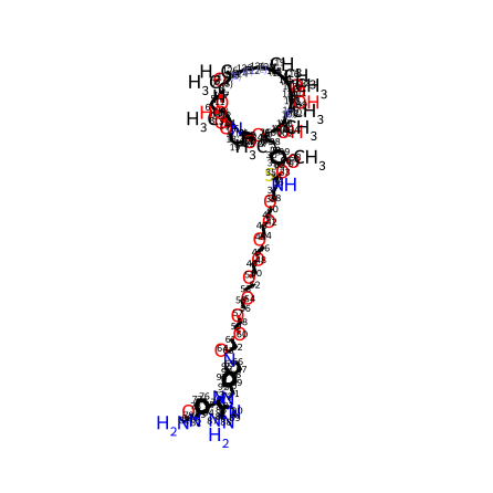 CO[C@H]1C[C@@H]2CC[C@@H](C)[C@@](O)(O2)C(=O)C(=O)N2CCCC[C@H]2C(=O)O[C@H]([C@H](C)C[C@@H]2CC[C@@H](OC(=S)NCCOCCOCCOCCOCCOCCOCCOCCOCCC(=O)N3CCc4cc(Cn5nc(-c6ccc7oc(N)nc7c6)c6c(N)ncnc65)ccc4C3)[C@H](OC)C2)C[C@@H](O)[C@H](C)/C=C(\C)[C@@H](O)[C@@H](OC)C(=O)[C@H](C)C[C@H](C)/C=C/C=C/C=C/1C